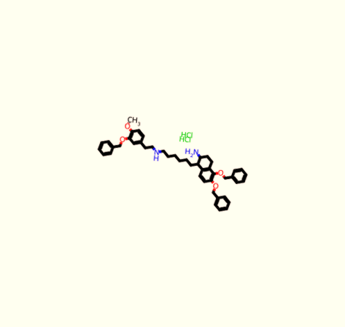 COc1ccc(CCNCCCCCCC2c3ccc(OCc4ccccc4)c(OCc4ccccc4)c3CCC2N)cc1OCc1ccccc1.Cl.Cl